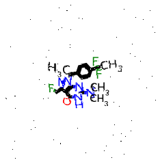 C[C@H](c1ccc(C(C)(F)F)cc1)n1nc(CF)c2c(=O)[nH]c(N(C)C)nc21